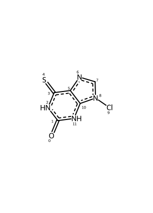 O=c1[nH]c(=S)c2ncn(Cl)c2[nH]1